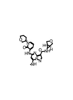 CNc1cc(Nc2cccn([C@@H]3CCCOC3)c2=O)nc2c(C(=O)NC3[C@H]4COC[C@@H]34)cnn12